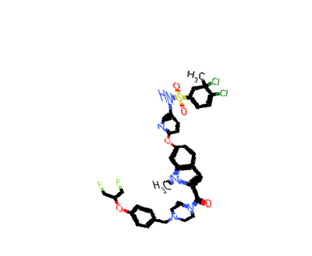 Cn1c(C(=O)N2CCN(Cc3ccc(OC(CF)CF)cc3)CC2)cc2ccc(Oc3ccc(NS(=O)(=O)C4=CC=C(Cl)C(C)(Cl)C4)cn3)cc21